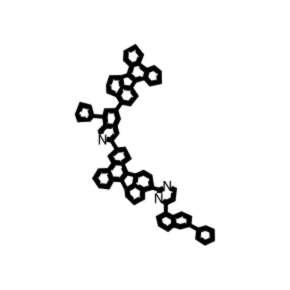 c1ccc(-c2ccc3c(-c4ccnc(-c5ccc6c7c(cccc57)-c5c-6c6ccc(-c7cc8cc(-c9ccc%10c%11c(cccc9%11)-c9c-%10c%10ccccc%10c%10ccccc9%10)cc(-c9ccccc9)c8cn7)cc6c6ccccc56)n4)cccc3c2)cc1